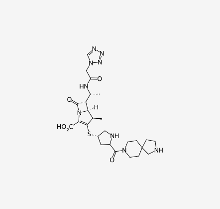 C[C@@H](NC(=O)Cn1cnnn1)[C@H]1C(=O)N2C(C(=O)O)=C(S[C@@H]3CNC(C(=O)N4CCC5(CCNC5)CC4)C3)[C@H](C)[C@H]12